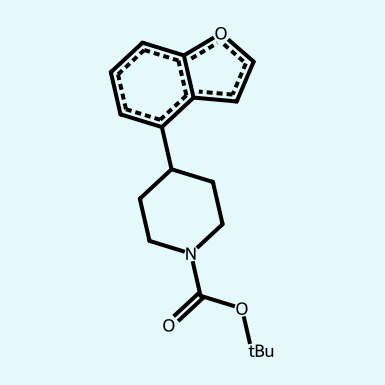 CC(C)(C)OC(=O)N1CCC(c2cccc3occc23)CC1